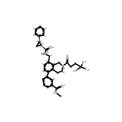 COC(=O)c1cccc(-c2ccc(CNC(=O)[C@H]3C[C@H]3c3ccccc3)c3c2CCN(C(=O)CCC(F)(F)F)C3)c1